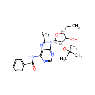 CC[C@H]1O[C@@H](n2c(C)nc3c(NC(=O)c4ccccc4)ncnc32)[C@@H](O[Si](C)(C)C)C1O